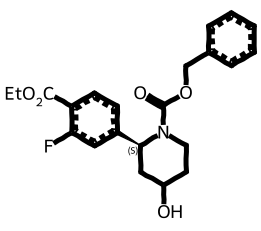 CCOC(=O)c1ccc([C@@H]2CC(O)CCN2C(=O)OCc2ccccc2)cc1F